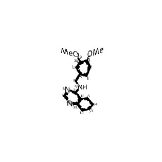 COc1ccc(CNc2ncnc3ccccc23)cc1OC